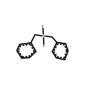 F[Si](F)(Cc1ccccc1)Cc1ccccc1